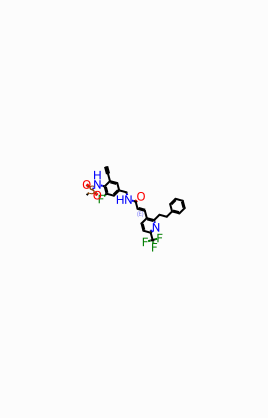 C#Cc1cc(CNC(=O)/C=C/c2ccc(C(F)(F)F)nc2CCc2ccccc2)cc(F)c1NS(C)(=O)=O